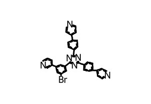 Brc1cc(-c2cccnc2)cc(-c2nc(-c3ccc(-c4ccncc4)cc3)nc(-c3ccc(-c4ccncc4)cc3)n2)c1